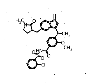 COc1cc(C(=O)NS(=O)(=O)c2ccccc2Cl)ccc1C(C)c1c[nH]c2ccc(CC3CCN(C)C3=O)cc12